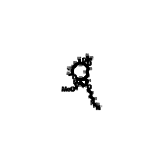 COCOc1cc(OCCCCN=[N+]=[N-])cc2c1C(=O)O[C@@H](C)[C@H](C)/C=C\C(C)C1OC(C)(C)OC1C/C=C/2